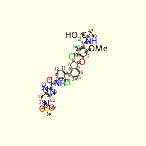 COc1cc(OC2CCc3c(-c4cccc(NC(=O)c5nc6c(n5C)CCN(S(C)(=O)=O)C6)c4Cl)cccc32)c(Cl)c(F)c1CNC1(C(=O)O)CC1